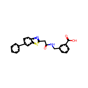 O=C(Cc1nc2ccc(-c3ccccc3)cc2s1)NCc1cccc(C(=O)O)c1